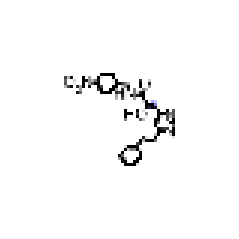 O=C(NCc1ccc([N+](=O)[O-])cc1)/C(O)=C/c1cc(CCc2ccccc2)ncn1